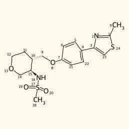 Cc1nc(-c2ccc(OC[C@H]3CCOC[C@@H]3NS(C)(=O)=O)cc2)cs1